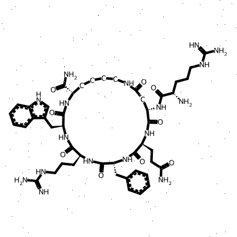 N=C(N)NCCC[C@@H]1NC(=O)[C@@H](Cc2ccccc2)NC(=O)[C@H](CCC(N)=O)NC(=O)[C@@H](NC(=O)[C@@H](N)CCCNC(=N)N)CC(=O)NCCCC[C@@H](C(N)=O)NC(=O)[C@H](Cc2c[nH]c3ccccc23)NC1=O